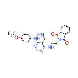 N=Cc1c(NCCN2C(=O)c3ccccc3C2=O)ncnc1Nc1ccc(OC(F)(F)F)cc1